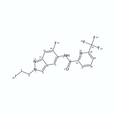 O=C(Nc1cc2cn(CCI)nc2cc1F)c1cccc(C(F)(F)F)n1